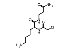 NCCCC[C@H](NC(=O)CCl)C(=O)NCCC(N)=O